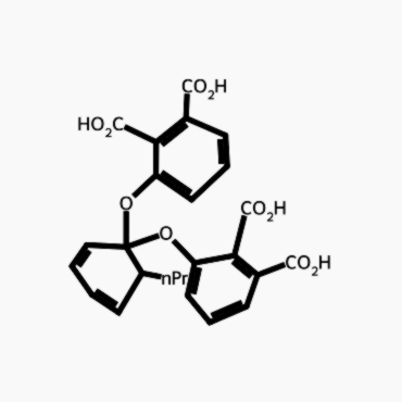 CCCC1C=CC=CC1(Oc1cccc(C(=O)O)c1C(=O)O)Oc1cccc(C(=O)O)c1C(=O)O